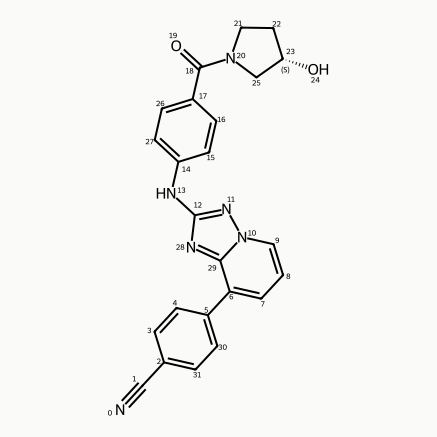 N#Cc1ccc(-c2cccn3nc(Nc4ccc(C(=O)N5CC[C@H](O)C5)cc4)nc23)cc1